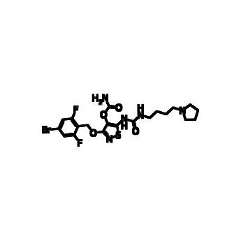 NC(=O)Oc1c(OCc2c(F)cc(Br)cc2F)nsc1NC(=O)NCCCCN1CCCC1